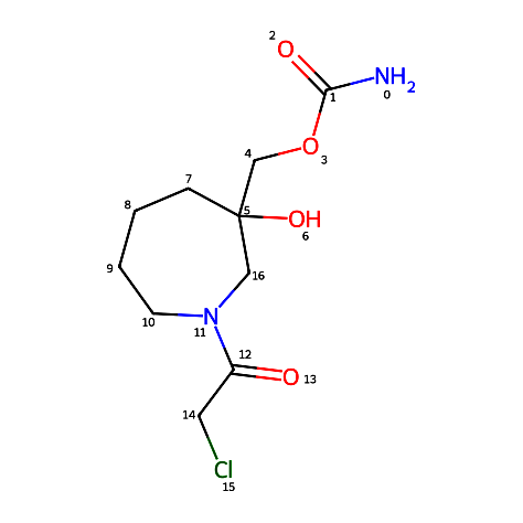 NC(=O)OCC1(O)CCCCN(C(=O)CCl)C1